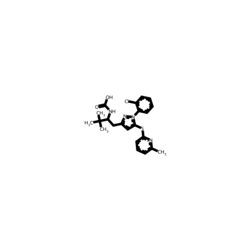 Cc1cccc(Sc2cc(CC(NC(=O)O)C(C)(C)C)nn2-c2ccccc2Cl)n1